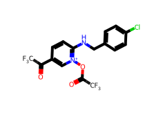 O=C(O[n+]1cc(C(=O)C(F)(F)F)ccc1NCc1ccc(Cl)cc1)C(F)(F)F